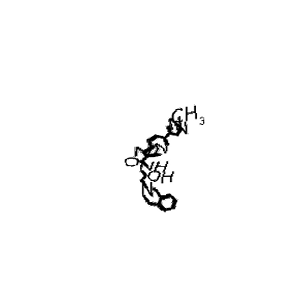 Cn1cc(-c2ccc3nc(C(=O)NC[C@H](O)CN4CCc5ccccc5C4)cn3c2)cn1